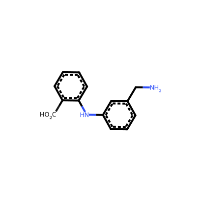 NCc1cccc(Nc2ccccc2C(=O)O)c1